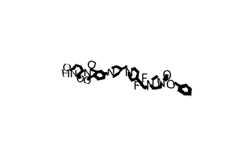 O=C1CCC(N2C(=O)c3ccc(N4CCC(CN5CCC(C(F)(F)CN6CCN(C(=O)OCc7ccccc7)CC6)CC5)CC4)cc3C2=O)C(=O)N1